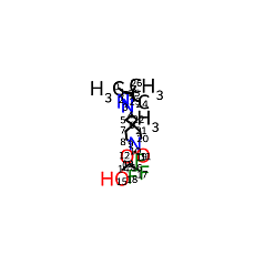 Cc1nn(C2CC3(CCN(C(=O)O[C@H](CO)C(F)(F)F)CC3)C2)c(C)c1C